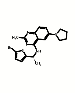 Cc1nc(N[C@H](C)c2ccc(Br)s2)c2cc(N3CCCC3)ccc2n1